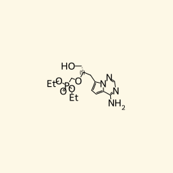 CCOP(=O)(CO[C@H](CO)Cc1ccc2c(N)ncnn12)OCC